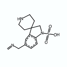 C=NCc1ccc2c(c1)C1(CCNCC1)CN2S(=O)(=O)O